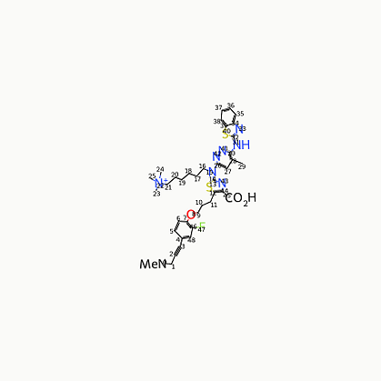 CNCC#Cc1ccc(OCCCc2sc(N(CCCCCC[N+](C)(C)C)c3cc(C)c(Nc4nc5ccccc5s4)nn3)nc2C(=O)O)c(F)c1